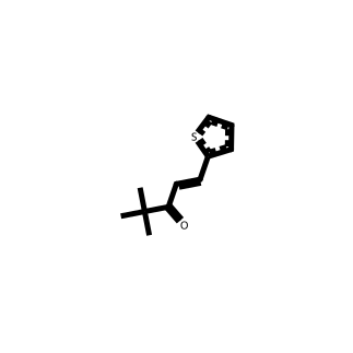 CC(C)(C)C(=O)/C=C/c1cccs1